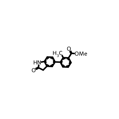 COC(=O)c1cccc(-c2ccc3c(c2)CC(=O)N3)c1C